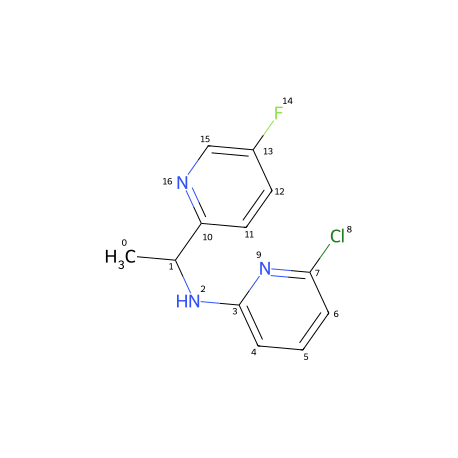 CC(Nc1cccc(Cl)n1)c1ccc(F)cn1